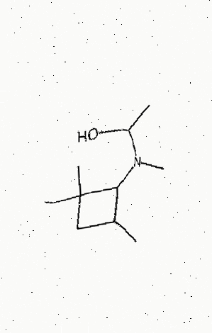 CC1CC(C)(C)C1N(C)C(C)O